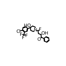 O=C(c1ccccc1)C(O)CC(F)N1CCC(O)(c2ccc(Cl)c(C(F)(F)F)c2)CC1